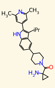 Cc1cc(-c2[nH]c3ccc(C4CCN(C(=O)C5(N)CC5)CC4)cc3c2C(C)C)cc(C)n1